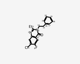 CCc1nc2cc(Cl)c(F)cc2c(=O)n1CCc1ccccc1